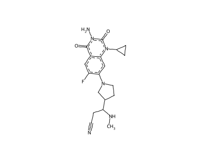 CNC(CC#N)C1CCN(c2cc3c(cc2F)c(=O)n(N)c(=O)n3C2CC2)C1